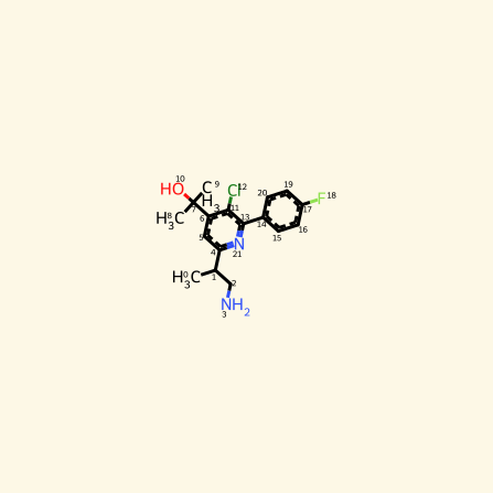 CC(CN)c1cc(C(C)(C)O)c(Cl)c(-c2ccc(F)cc2)n1